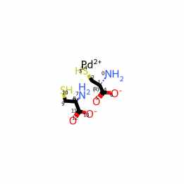 N[C@@H](CS)C(=O)[O-].N[C@@H](CS)C(=O)[O-].[Pd+2]